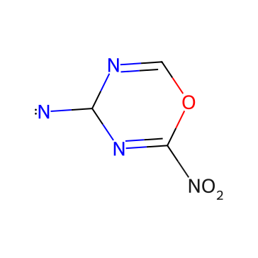 [N]C1N=COC([N+](=O)[O-])=N1